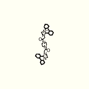 O=C(CN1CC[n+]2c1c1ccccc1c1ccccc12)N1CCN(C(=O)CN2CC[n+]3c2c2ccccc2c2ccccc23)CC1